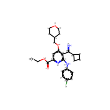 CCOC(=O)c1cc(OCC2CCOCC2)c(C(=N)C2CCC2)c(Nc2ccc(F)cc2)n1